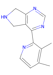 Cc1ccnc(-c2ncnc3c2CNC3)c1C